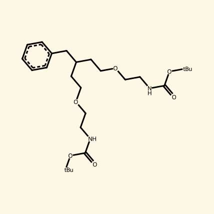 CC(C)(C)OC(=O)NCCOCCC(CCOCCNC(=O)OC(C)(C)C)Cc1ccccc1